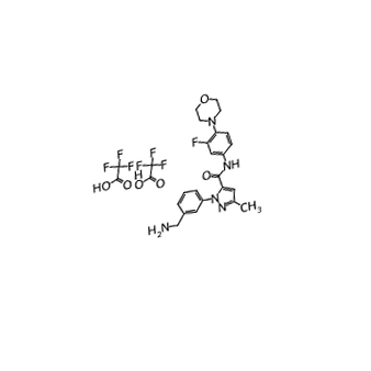 Cc1cc(C(=O)Nc2ccc(N3CCOCC3)c(F)c2)n(-c2cccc(CN)c2)n1.O=C(O)C(F)(F)F.O=C(O)C(F)(F)F